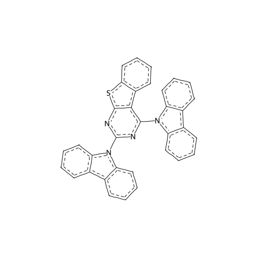 c1ccc2c(c1)sc1nc(-n3c4ccccc4c4ccccc43)nc(-n3c4ccccc4c4ccccc43)c12